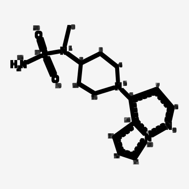 CN(C1CCN(c2ccnn3cccc23)CC1)S(N)(=O)=O